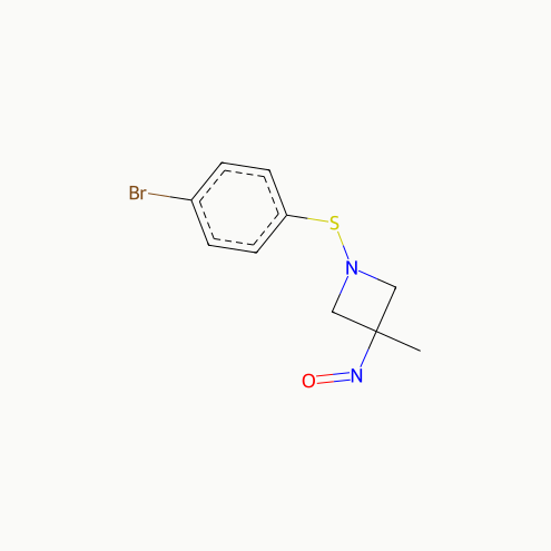 CC1(N=O)CN(Sc2ccc(Br)cc2)C1